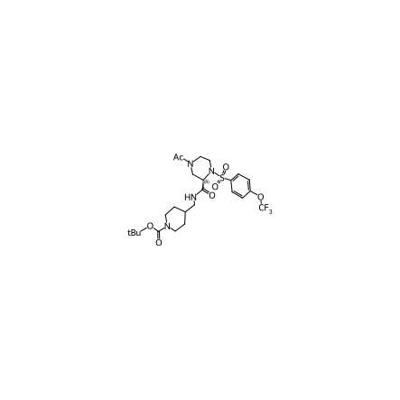 CC(=O)N1CCN(S(=O)(=O)c2ccc(OC(F)(F)F)cc2)[C@@H](C(=O)NCC2CCN(C(=O)OC(C)(C)C)CC2)C1